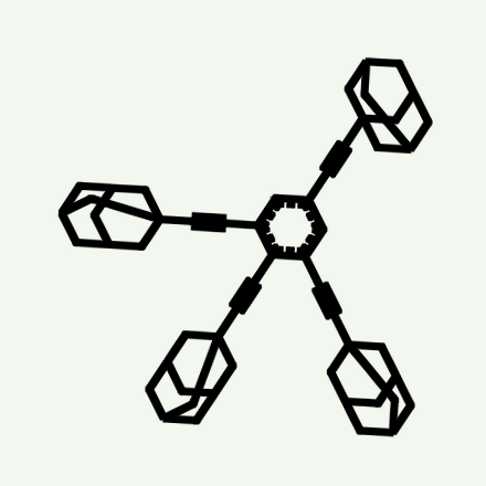 C(#CC12CC3CC(CC(C3)C1)C2)c1[c]c(C#CC23CC4CC(CC(C4)C2)C3)c(C#CC23CC4CC(CC(C4)C2)C3)c(C#CC23CC4CC(CC(C4)C2)C3)c1